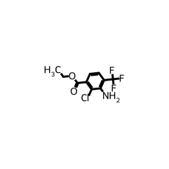 CCOC(=O)c1ccc(C(F)(F)F)c(N)c1Cl